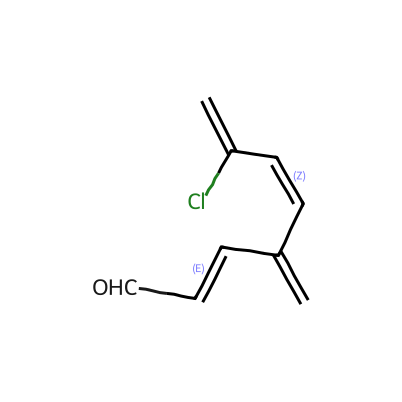 C=C(Cl)/C=C\C(=C)/C=C/C=O